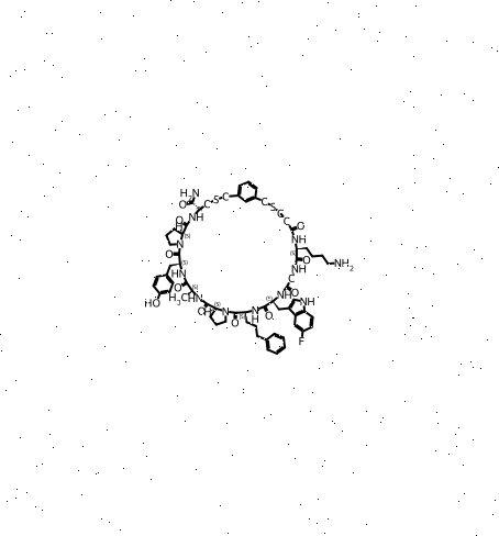 C[C@@H]1NC(=O)[C@@H]2CCCN2C(=O)[C@H](CCCc2ccccc2)NC(=O)[C@H](Cc2c[nH]c3ccc(F)cc23)NC(=O)CNC(=O)[C@H](CCCCN)NC(=O)CCSCc2cccc(c2)CSC[C@@H](C(N)=O)NC(=O)[C@@H]2CCCN2C(=O)[C@H](Cc2ccc(O)cc2)NC1=O